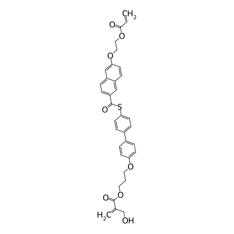 C=CC(=O)OCCOc1ccc2cc(C(=O)Sc3ccc(-c4ccc(OCCCOC(=O)C(=C)CO)cc4)cc3)ccc2c1